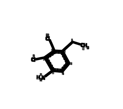 CCc1ccc(N)c(Cl)c1Cl